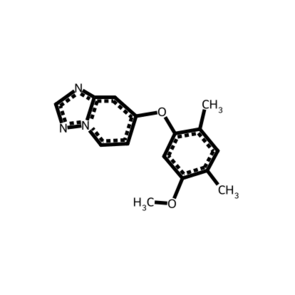 COc1cc(Oc2ccn3ncnc3c2)c(C)cc1C